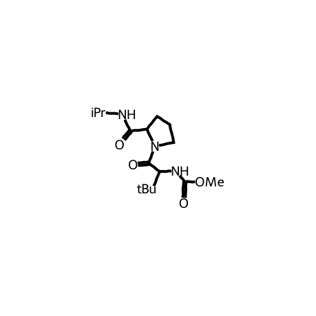 COC(=O)NC(C(=O)N1CCCC1C(=O)NC(C)C)C(C)(C)C